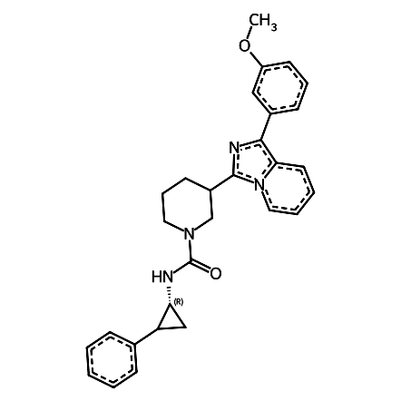 COc1cccc(-c2nc(C3CCCN(C(=O)N[C@@H]4CC4c4ccccc4)C3)n3ccccc23)c1